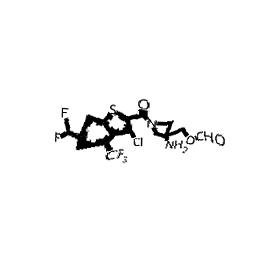 NC1(COC=O)CN(C(=O)c2sc3cc(C(F)F)cc(C(F)(F)F)c3c2Cl)C1